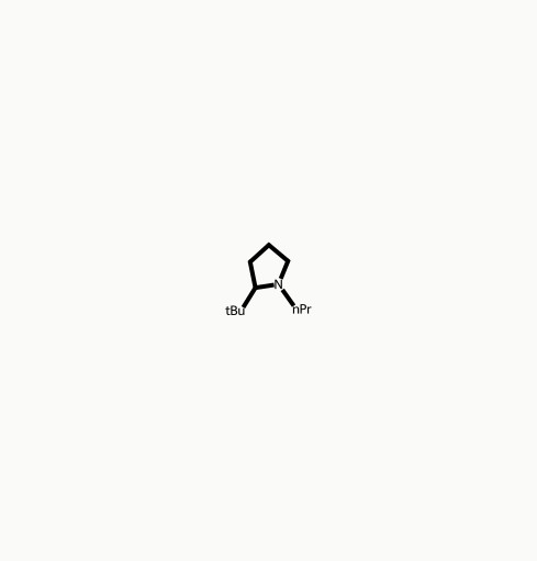 CCCN1CCCC1C(C)(C)C